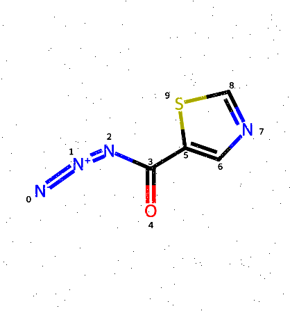 [N-]=[N+]=NC(=O)c1cncs1